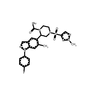 Cc1cc2c(cnn2-c2ccc(F)cc2)cc1C1CN(S(=O)(=O)c2cnn(C)n2)CCN1C(=O)C(C)(C)C